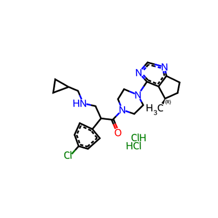 C[C@@H]1CCc2ncnc(N3CCN(C(=O)C(CNCC4CC4)c4ccc(Cl)cc4)CC3)c21.Cl.Cl